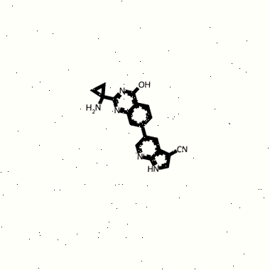 N#Cc1c[nH]c2ncc(-c3ccc4c(O)nc(C5(N)CC5)nc4c3)cc12